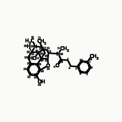 Cc1cccc(CCC(=O)N(C)C2CC(C)[C@@]3(O)[C@H]4Cc5ccc(O)c6c5[C@@]3(CCN4C)C2O6)c1